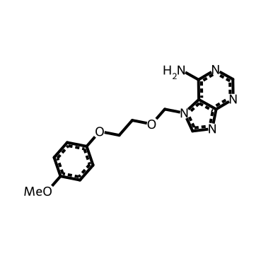 COc1ccc(OCCOCn2cnc3ncnc(N)c32)cc1